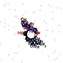 C=CC(=O)N1CC[C@](O)(C(=O)N(C)[C@H](C(=O)N[C@H]2Cc3cc(O)cc(c3)-c3ccc4c(c3)c(c(-c3ccc(CN(C)C)nc3COC)n4CC)CC(C)(C)COC(=O)[C@@]3(O)CCCN(N3)C2=O)C(C)C)C1